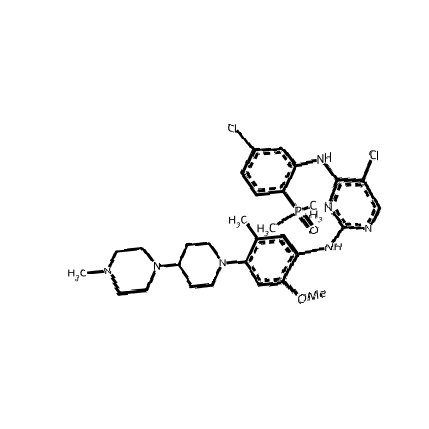 COc1cc(N2CCC(N3CCN(C)CC3)CC2)c(C)cc1Nc1ncc(Cl)c(Nc2cc(Cl)ccc2P(C)(C)=O)n1